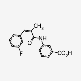 CC(=Cc1cccc(F)c1)C(=O)Nc1cccc(C(=O)O)c1